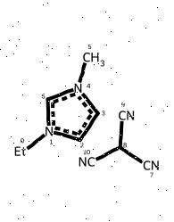 CC[n+]1ccn(C)c1.N#CC(C#N)C#N